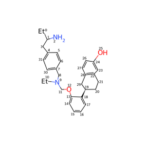 CCC(N)Cc1ccc(CN(CC)COc2ccccc2[C@@H]2CCc3cc(O)ccc3C2)cc1